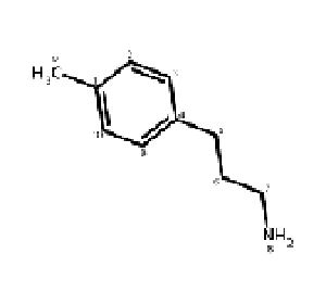 Cc1ccc(CCCN)cc1